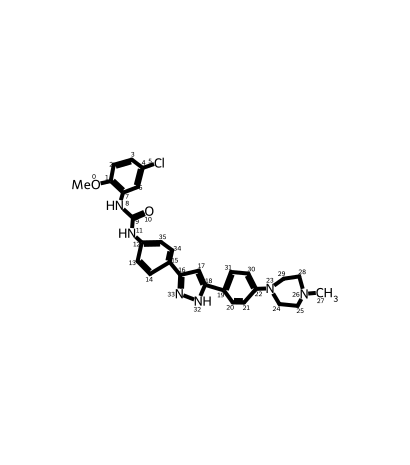 COc1ccc(Cl)cc1NC(=O)Nc1ccc(-c2cc(-c3ccc(N4CCN(C)CC4)cc3)[nH]n2)cc1